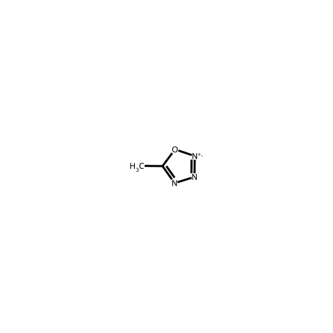 CC1=NN=[N+]O1